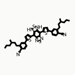 CCCC(C)CCc1cc(-c2ccc(-c3c4c(c(-c5ccc(-c6ccc(C#N)c(CCC(C)CCC)c6)s5)c5nsnc35)NSN4)s2)ccc1C#N